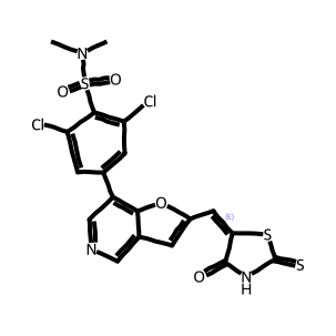 CN(C)S(=O)(=O)c1c(Cl)cc(-c2cncc3cc(/C=C4/SC(=S)NC4=O)oc23)cc1Cl